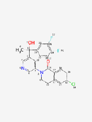 CC(O)(c1cncc(N2CCC3=CC(Cl)CC=C3C2=O)c1)c1ccc(F)c(F)c1